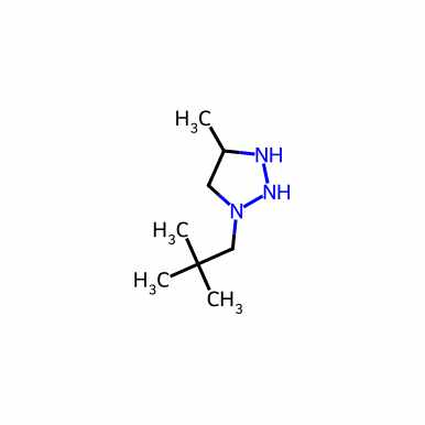 CC1CN(CC(C)(C)C)NN1